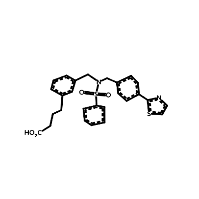 O=C(O)CCCc1cccc(CN(Cc2ccc(-c3nccs3)cc2)S(=O)(=O)c2ccccc2)c1